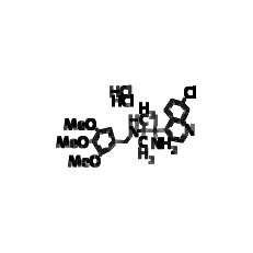 COc1cc(CNC(C)(C)C(N)(I)c2ccnc3cc(Cl)ccc23)cc(OC)c1OC.Cl.Cl